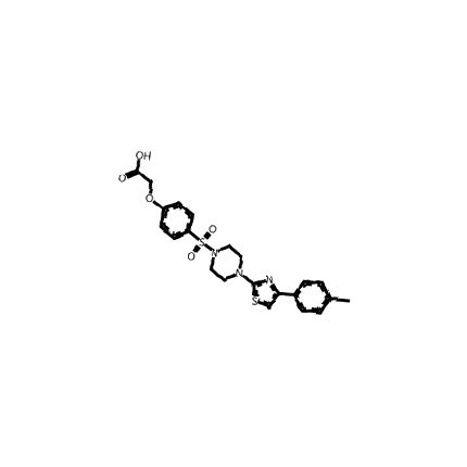 Cc1ccc(-c2csc(N3CCN(S(=O)(=O)c4ccc(OCC(=O)O)cc4)CC3)n2)cc1